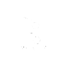 COC(=O)c1cc(C(=O)c2cccc(OC)c2)ccc1OC